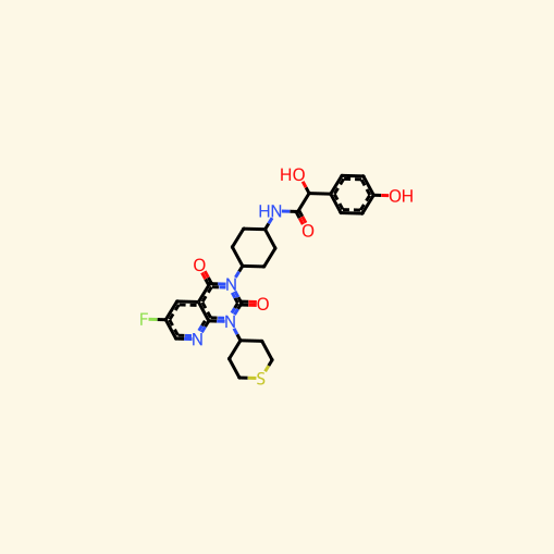 O=C(NC1CCC(n2c(=O)c3cc(F)cnc3n(C3CCSCC3)c2=O)CC1)C(O)c1ccc(O)cc1